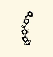 C[C@@H]1CN(c2ccc3nccnc3n2)C[C@H](C)N1C(=O)OC1CCN(Cc2ccccc2)CC1